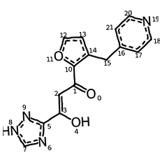 O=C(C=C(O)c1nc[nH]n1)c1occc1Cc1ccncc1